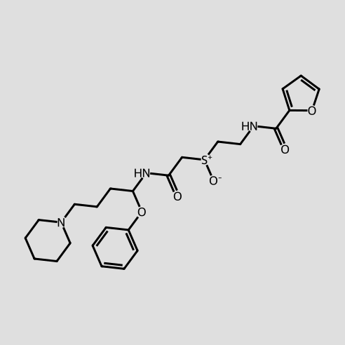 O=C(C[S+]([O-])CCNC(=O)c1ccco1)NC(CCCN1CCCCC1)Oc1ccccc1